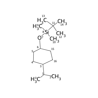 CC(C)C1CCC(O[Si](C)(C)C(C)(C)C)CC1